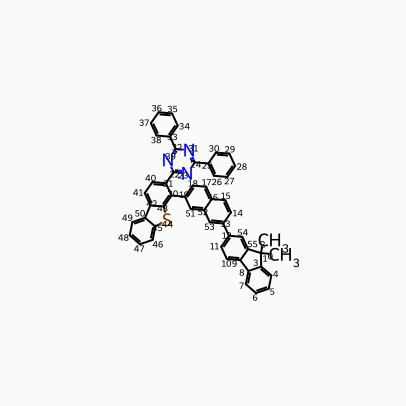 CC1(C)c2ccccc2-c2ccc(-c3ccc4ccc(-c5c(-c6nc(-c7ccccc7)nc(-c7ccccc7)n6)ccc6c5sc5ccccc56)cc4c3)cc21